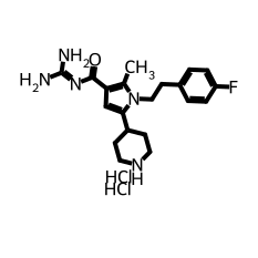 Cc1c(C(=O)N=C(N)N)cc(C2CCNCC2)n1CCc1ccc(F)cc1.Cl.Cl